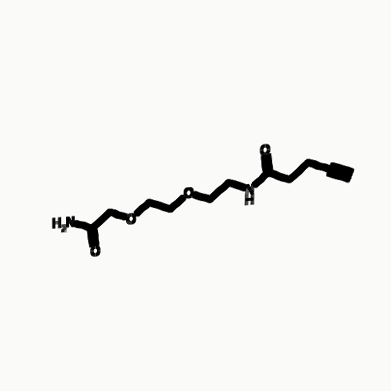 C#CCCC(=O)NCCOCCOCC(N)=O